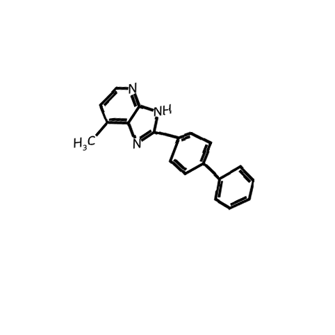 Cc1ccnc2[nH]c(-c3ccc(-c4ccccc4)cc3)nc12